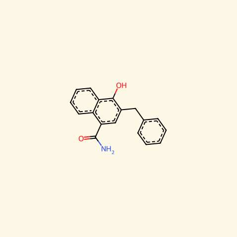 NC(=O)c1cc(Cc2ccccc2)c(O)c2ccccc12